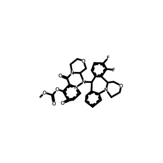 COC(=O)Oc1c2n(ccc1=O)N(C1c3ccccc3N3CCOCC3c3c1ccc(F)c3F)C1COCCN1C2=O